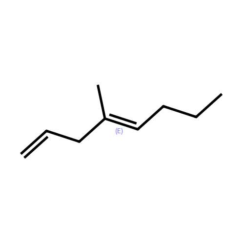 C=CC/C(C)=C/CCC